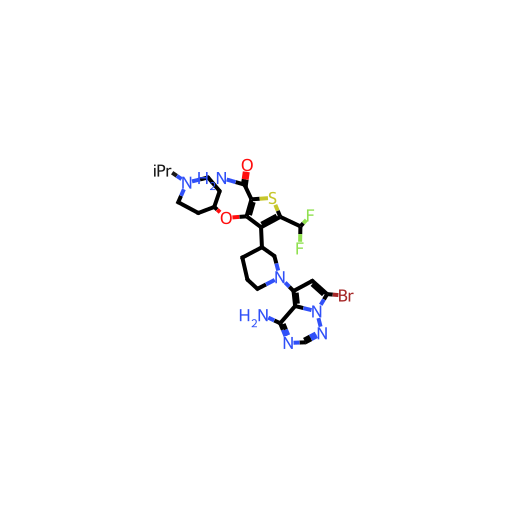 CC(C)N1CCC(Oc2c(C(N)=O)sc(C(F)F)c2C2CCCN(c3cc(Br)n4ncnc(N)c34)C2)CC1